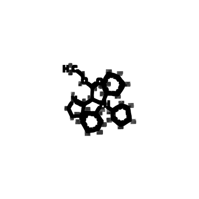 CCOC(=O)C(C1=NCCS1)[PH](c1ccccc1)(c1ccccc1)c1ccccc1